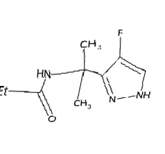 CCC(=O)NC(C)(C)c1n[nH]cc1F